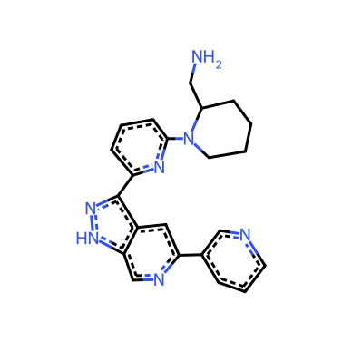 NCC1CCCCN1c1cccc(-c2n[nH]c3cnc(-c4cccnc4)cc23)n1